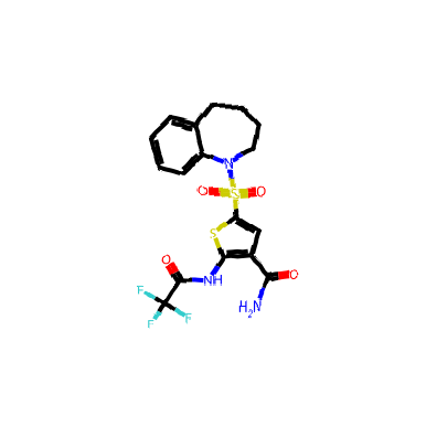 NC(=O)c1cc(S(=O)(=O)N2CCCCc3ccccc32)sc1NC(=O)C(F)(F)F